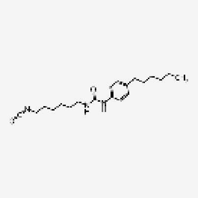 CCCCCCc1ccc(NC(=O)NCCCCCCN=C=O)cc1